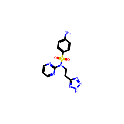 Nc1ccc(S(=O)(=O)N(CCc2nn[nH]n2)c2ncccn2)cc1